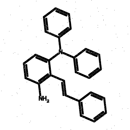 Nc1cccc(N(c2ccccc2)c2ccccc2)c1C=Cc1ccccc1